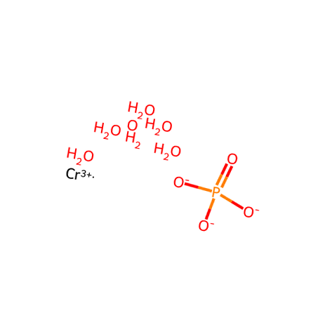 O.O.O.O.O.O.O=P([O-])([O-])[O-].[Cr+3]